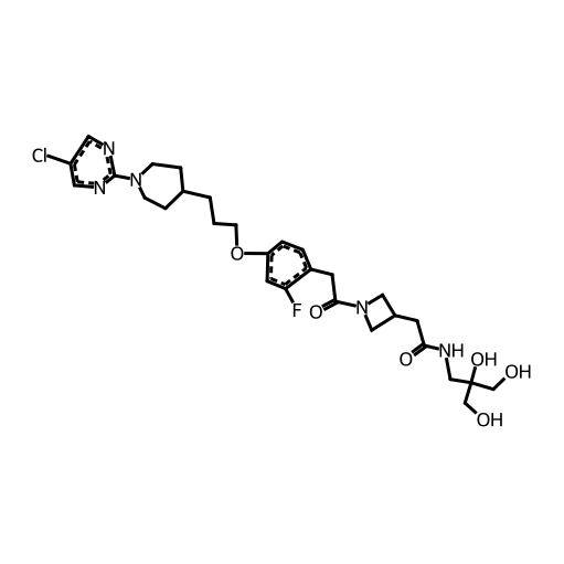 O=C(CC1CN(C(=O)Cc2ccc(OCCCC3CCN(c4ncc(Cl)cn4)CC3)cc2F)C1)NCC(O)(CO)CO